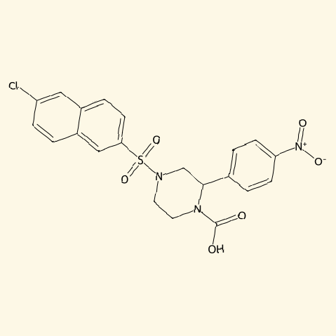 O=C(O)N1CCN(S(=O)(=O)c2ccc3cc(Cl)ccc3c2)CC1c1ccc([N+](=O)[O-])cc1